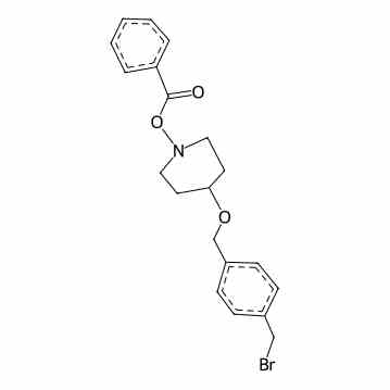 O=C(ON1CCC(OCc2ccc(CBr)cc2)CC1)c1ccccc1